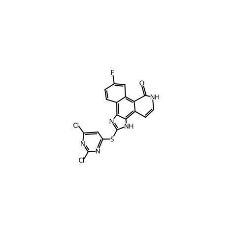 O=c1[nH]ccc2c3[nH]c(Sc4cc(Cl)nc(Cl)n4)nc3c3ccc(F)cc3c12